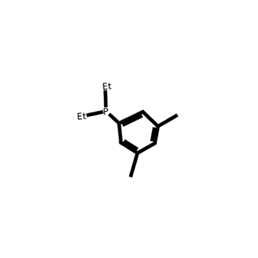 CCP(CC)c1cc(C)cc(C)c1